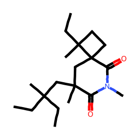 CCC(C)(CC)CC1(C)CC2(CCC2(C)CC)C(=O)N(C)C1=O